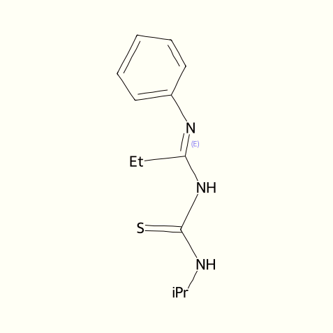 CC/C(=N\c1ccccc1)NC(=S)NC(C)C